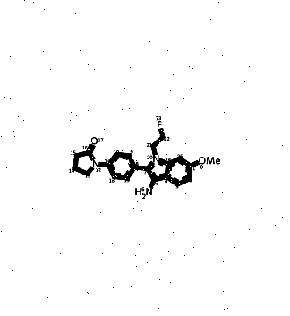 COc1ccc2c(N)c(-c3ccc(N4CCCC4=O)cc3)n(CCF)c2c1